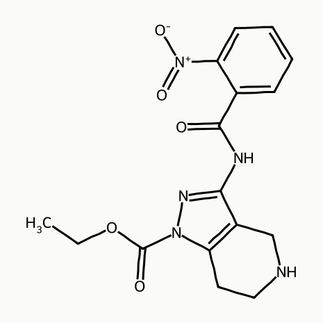 CCOC(=O)n1nc(NC(=O)c2ccccc2[N+](=O)[O-])c2c1CCNC2